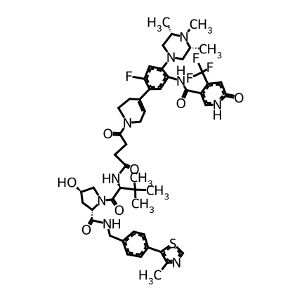 Cc1ncsc1-c1ccc(CNC(=O)[C@@H]2C[C@@H](O)CN2C(=O)[C@@H](NC(=O)CCC(=O)N2CC=C(c3cc(NC(=O)c4c[nH]c(=O)cc4C(F)(F)F)c(N4C[C@@H](C)N(C)[C@@H](C)C4)cc3F)CC2)C(C)(C)C)cc1